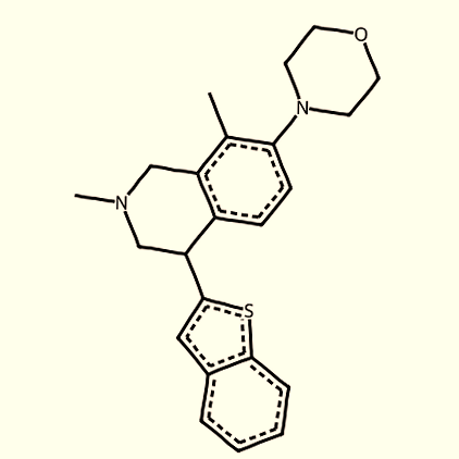 Cc1c(N2CCOCC2)ccc2c1CN(C)CC2c1cc2ccccc2s1